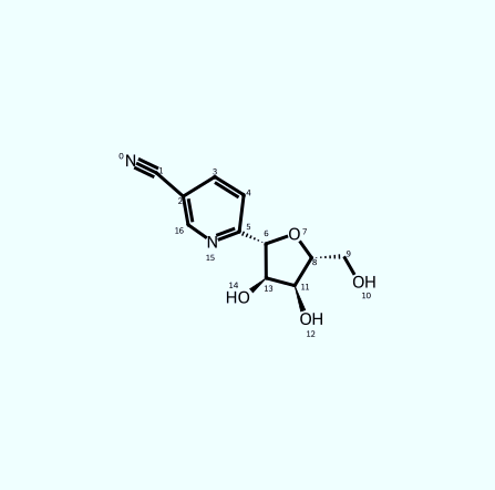 N#Cc1ccc([C@@H]2O[C@H](CO)[C@@H](O)[C@H]2O)nc1